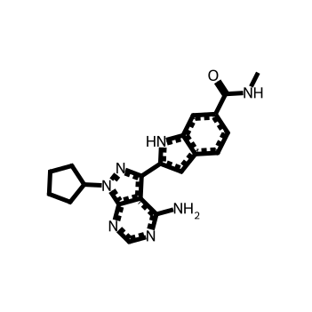 CNC(=O)c1ccc2cc(-c3nn(C4CCCC4)c4ncnc(N)c34)[nH]c2c1